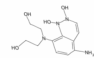 Nc1ccc(N(CCO)CCO)c2c1C=CN(O)N2O